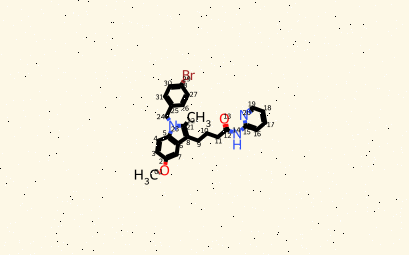 COc1ccc2c(c1)c(CCCC(=O)Nc1ccccn1)c(C)n2Cc1ccc(Br)cc1